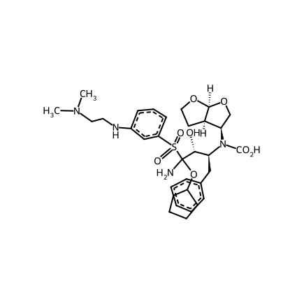 CN(C)CCNc1cccc(S(=O)(=O)C(N)(OC2CCCC2)[C@H](O)[C@H](Cc2ccccc2)N(C(=O)O)[C@@H]2CO[C@@H]3OCC[C@@H]32)c1